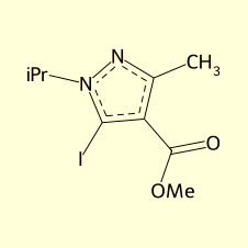 COC(=O)c1c(C)nn(C(C)C)c1I